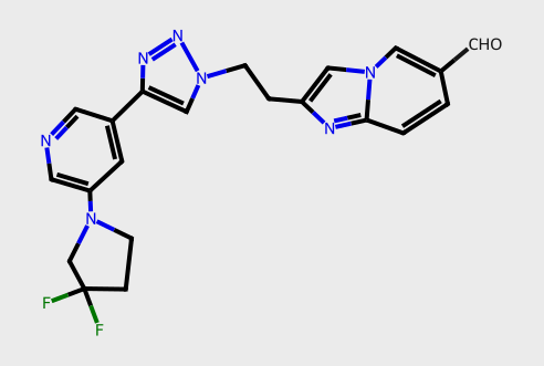 O=Cc1ccc2nc(CCn3cc(-c4cncc(N5CCC(F)(F)C5)c4)nn3)cn2c1